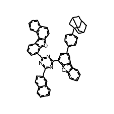 c1ccc2cc(-c3nc(-c4cc(-c5ccc(C67CC8CC(CC(C8)C6)C7)cc5)cc5c4oc4ccccc45)nc(-c4cccc5c4oc4ccc6ccccc6c45)n3)ccc2c1